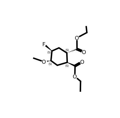 CCOC(=O)[C@H]1C[C@H](OC)[C@@H](F)C[C@@H]1C(=O)OCC